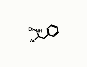 CCNC(Cc1ccccc1)C(C)=O